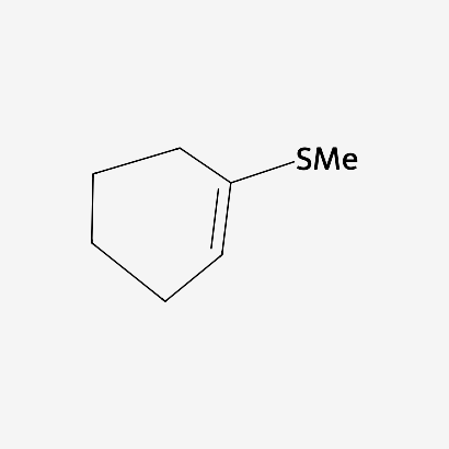 [CH2]SC1=CCCCC1